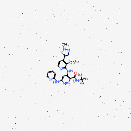 [2H]C([2H])([2H])NC(=O)c1nnc(Nc2ccccn2)cc1Nc1nccc(-c2cnn(C)n2)c1OC